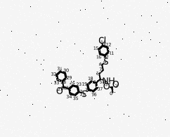 CC(=O)ONC(CCCSc1ccc(Cl)cc1)c1ccc(Sc2ccc(C(=O)c3ccccc3)cc2)cc1